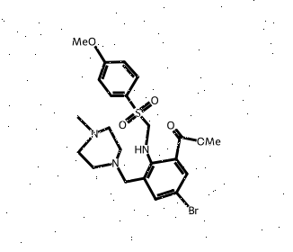 COC(=O)c1cc(Br)cc(CN2CCN(C)CC2)c1NCS(=O)(=O)c1ccc(OC)cc1